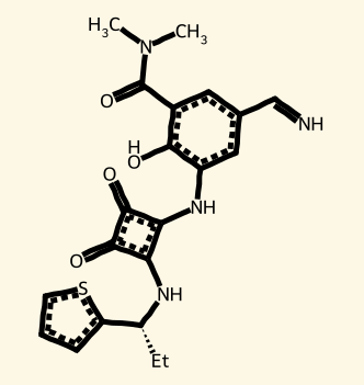 CC[C@@H](Nc1c(Nc2cc(C=N)cc(C(=O)N(C)C)c2O)c(=O)c1=O)c1cccs1